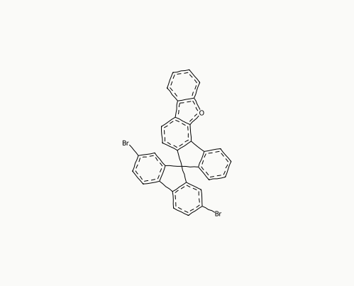 Brc1ccc2c(c1)C1(c3cc(Br)ccc3-2)c2ccccc2-c2c1ccc1c2oc2ccccc21